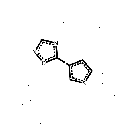 [c]1noc(-c2ccsc2)n1